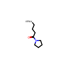 [CH2]CCCCCCCCC(=O)N1CCCC1